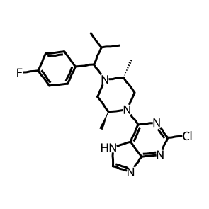 CC(C)C(c1ccc(F)cc1)N1C[C@H](C)N(c2nc(Cl)nc3nc[nH]c23)C[C@H]1C